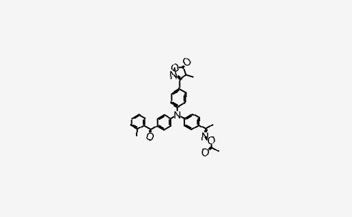 CC(=O)O/N=C(\C)c1ccc(N(c2ccc(C(=O)c3ccccc3C)cc2)c2ccc(C3=NOC(=O)C3C)cc2)cc1